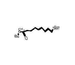 CCCCCCCCCCCCCCCCCC(=O)N(C)C(C)CC